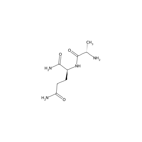 C[C@H](N)C(=O)N[C@@H](CCC(N)=O)C(N)=O